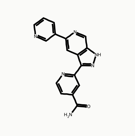 NC(=O)c1ccnc(-c2n[nH]c3cnc(-c4cccnc4)cc23)c1